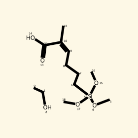 CCO.CO[Si](CCCC=C(C)C(=O)O)(OC)OC